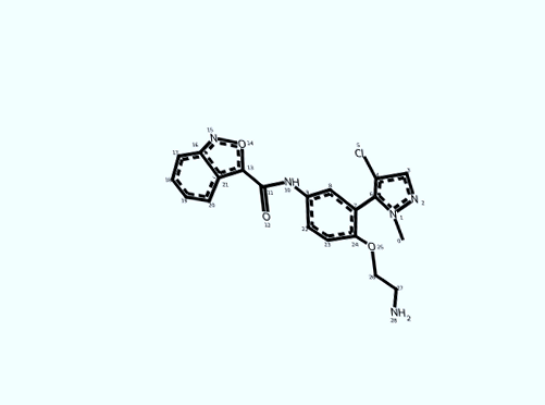 Cn1ncc(Cl)c1-c1cc(NC(=O)c2onc3ccccc23)ccc1OCCN